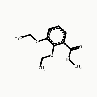 CCOc1cccc(C(=O)NC)c1OCC